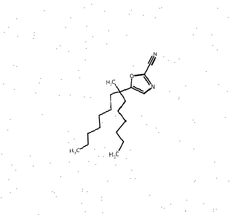 CCCCCCCC(C)(CCCCCC)c1cnc(C#N)o1